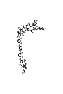 C#CCN1CCN(CCOCCOCCOCCN2CCN(Cc3ccc(C(=[N+]=[N-])C(=O)OC)cc3)CC2)CC1